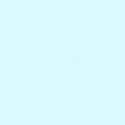 CN(C)C=C1CCc2ccn(S(=O)(=O)c3ccccc3)c2C1=O